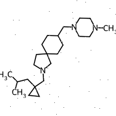 CC(C)CC1(CN2CCC3(CCC(CN4CCN(C)CC4)CC3)C2)CC1